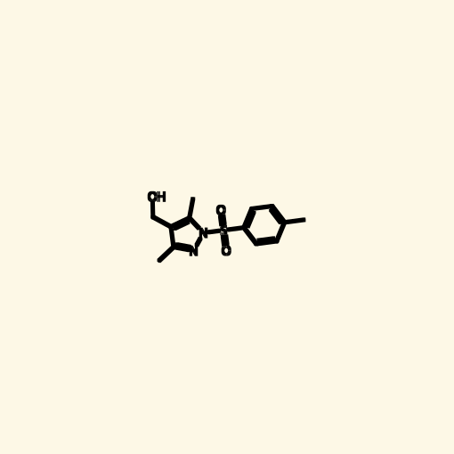 Cc1ccc(S(=O)(=O)n2nc(C)c(CO)c2C)cc1